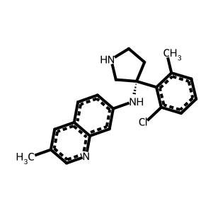 Cc1cnc2cc(N[C@@]3(c4c(C)cccc4Cl)CCNC3)ccc2c1